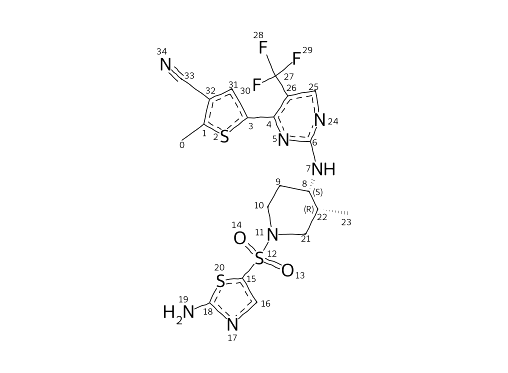 Cc1sc(-c2nc(N[C@H]3CCN(S(=O)(=O)c4cnc(N)s4)C[C@H]3C)ncc2C(F)(F)F)cc1C#N